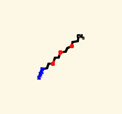 CCCOCCOCCOCCN=[N+]=[N-]